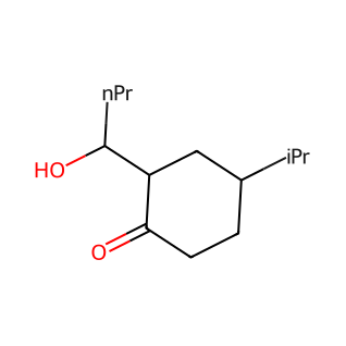 CCCC(O)C1CC(C(C)C)CCC1=O